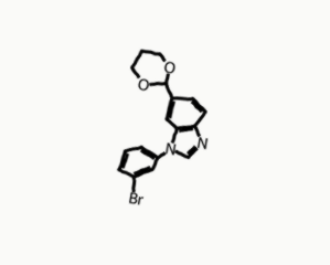 Brc1cccc(-n2cnc3ccc(C4OCCCO4)cc32)c1